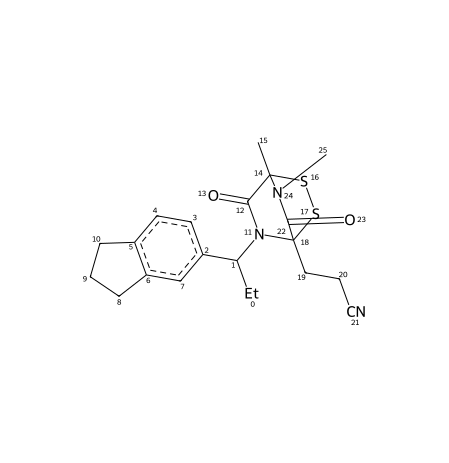 CCC(c1ccc2c(c1)CCC2)N1C(=O)C2(C)SSC1(CCC#N)C(=O)N2C